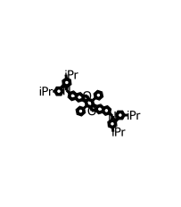 CC(C)c1ccc2c(c1)c1cc(C(C)C)ccc1n2-c1ccc2cc3c(cc2c1)oc1c(-c2ccccc2)c2c(oc4cc5cc(-n6c7ccc(C(C)C)cc7c7cc(C(C)C)ccc76)ccc5cc42)c(-c2ccccc2)c13